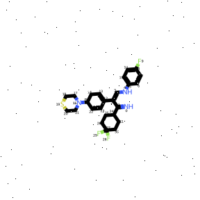 N=C(/C(=C\Nc1ccc(F)cc1)C1=CCC(N2CCSCC2)C=C1)C1CCC(F)(F)CC1